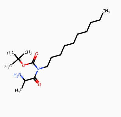 CCCCCCCCCCN(C(=O)OC(C)(C)C)C(=O)C(C)N